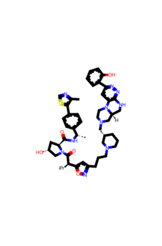 Cc1ncsc1-c1ccc([C@H](C)NC(=O)[C@@H]2C[C@@H](O)CN2C(=O)[C@@H](c2cc(CCCN3CCC[C@@H](CN4CCN5c6cc(-c7ccccc7O)nnc6NC[C@H]5C4)C3)no2)C(C)C)cc1